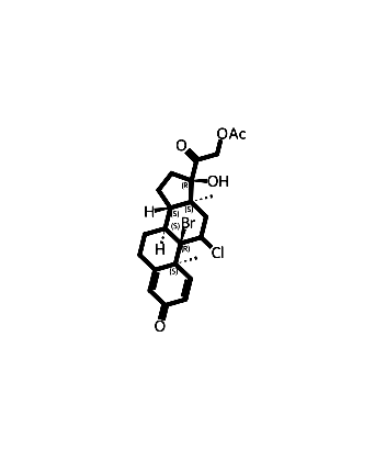 CC(=O)OCC(=O)[C@@]1(O)CC[C@H]2[C@@H]3CCC4=CC(=O)C=C[C@]4(C)[C@@]3(Br)C(Cl)C[C@@]21C